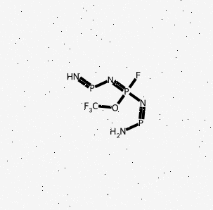 N=PN=P(F)(/N=P\N)OC(F)(F)F